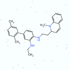 CCNc1cc(-c2cc(C)ccc2C)ccc1NCCC1C=Cc2ccccc2N1C